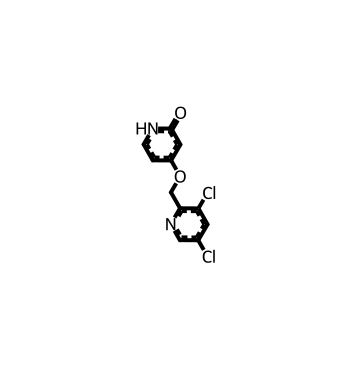 O=c1cc(OCc2ncc(Cl)cc2Cl)cc[nH]1